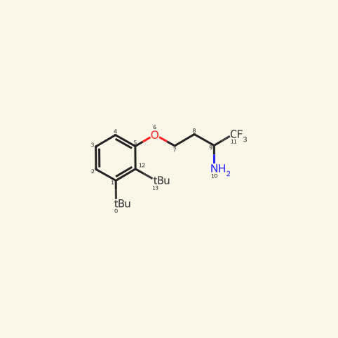 CC(C)(C)c1cccc(OCCC(N)C(F)(F)F)c1C(C)(C)C